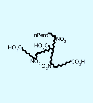 CCCCC/C=C\C/C=C(\CCCCC(CCCCC/C=C(\C/C=C\CCCCCCCC(=O)O)[N+](=O)[O-])C(CCCCC/C=C\C/C(=C\CCCCCCCC(=O)O)[N+](=O)[O-])CC(=O)O)[N+](=O)[O-]